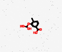 Cc1ccc(C(=O)O)cc1OC(O)O